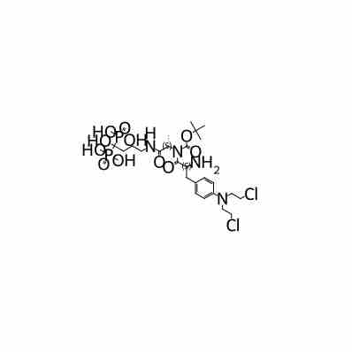 C[C@@H](C(=O)NCCCC(O)(P(=O)(O)O)P(=O)(O)O)N(C(=O)OC(C)(C)C)C(=O)[C@@H](N)Cc1ccc(N(CCCl)CCCl)cc1